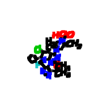 CC(C)c1ncnc(C2CC2)c1-n1c(=O)nc(N2C[C@@H](C)N(C(=O)O)C[C@@H]2C)c2cc(Cl)c(-c3ccccc3F)nc21